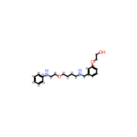 OCCOc1cccc(CNCCCCOCCNc2ccccc2)c1